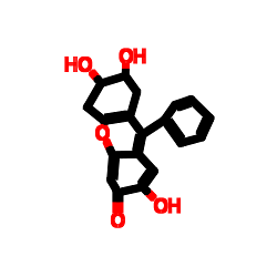 O=c1cc2oc3c(c(-c4ccccc4)c-2cc1O)CC(O)C(O)C3